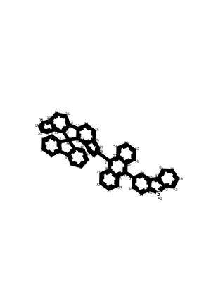 c1ccc2c(c1)-c1ccccc1C21c2c(ccc3ccccc23)-c2ccc3cc(-c4c5ccccc5c(-c5ccc6sc7ccccc7c6c5)c5ccccc45)ccc3c21